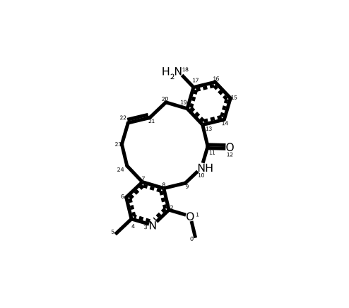 COc1nc(C)cc2c1CNC(=O)c1cccc(N)c1C/C=C/CC2